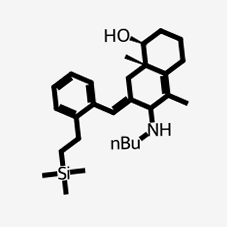 CCCCNC1C(C)=C2CCC[C@H](O)[C@@]2(C)C/C1=C\c1ccccc1CC[Si](C)(C)C